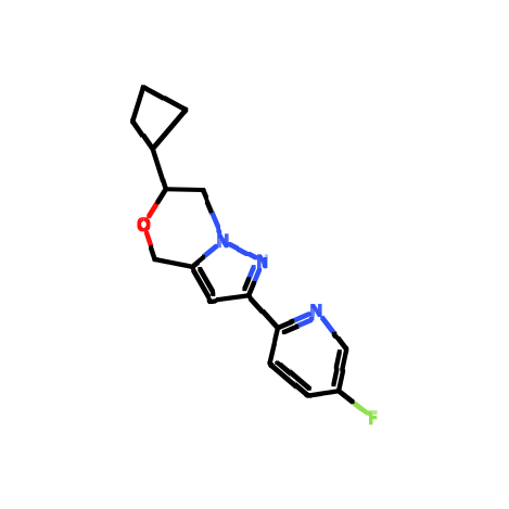 Fc1ccc(-c2cc3n(n2)CC(C2CCC2)OC3)nc1